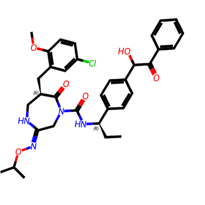 CC[C@@H](NC(=O)N1CC(=NOC(C)C)NC[C@@H](Cc2cc(Cl)ccc2OC)C1=O)c1ccc(C(O)C(=O)c2ccccc2)cc1